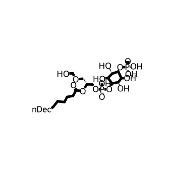 CCCCCCCCCCCCCCCC(=O)O[C@H](COCO)COP(=O)(O)OC1C(O)[C@H](O)[C@H](OP(=O)(O)O)C(O)[C@@H]1O